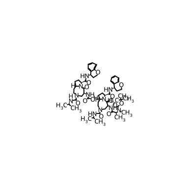 CC(C)NC(=O)N1CC[C@H]2CC[C@@H](C(=O)N[C@@H]3CCOc4ccccc43)N2C(=O)[C@@H](NC(=O)O)C1.CC(C)NC(=O)N1CC[C@H]2CC[C@@H](C(=O)N[C@@H]3CCOc4ccccc43)N2C(=O)[C@@H](NC(=O)[C@H](C)N(C)C(=O)OC(C)(C)C)C1